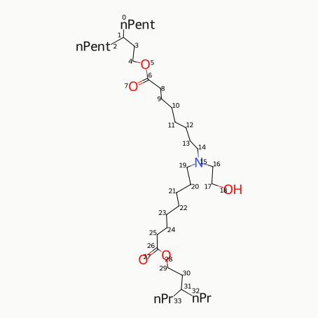 CCCCCC(CCCCC)CCOC(=O)CCCCCCCN(CCO)CCCCCCCC(=O)OCCC(CCC)CCC